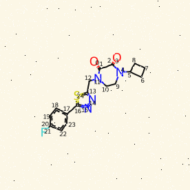 O=C1C(=O)N(C2CCC2)CCN1Cc1nnc(-c2ccc(F)cc2)s1